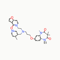 CCN1C(=O)C(C)(C)C(=O)N(C)c2cc(OCCCN(CCn3ccc4occc4c3=O)Cc3cnccc3C)ccc21